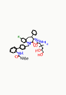 CNC(=O)Nc1ccccc1-c1ccc(CN2C(=O)C(NC(=O)C(N)C(C)(C)C[C@H](O)CO)C(c3ccccc3)Cc3cc(F)ccc32)cc1